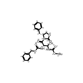 CC(NC(=O)OC(C)(C)C)[C@H](NC(=O)OCc1ccccc1)C(=O)N1C(=O)OC[C@H]1Cc1ccccc1